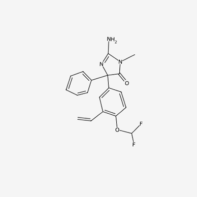 C=Cc1cc(C2(c3ccccc3)N=C(N)N(C)C2=O)ccc1OC(F)F